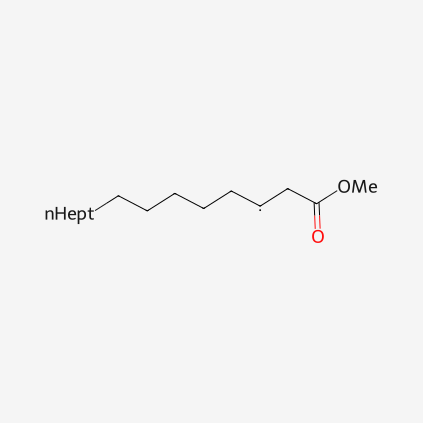 CCCCCCCCCCCC[CH]CC(=O)OC